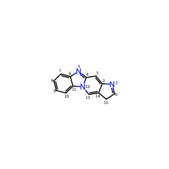 C1=Nc2cc3nc4ccccc4n3cc2C1